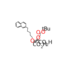 CC(C)(C)OC(=O)CO[C@@H](C(=O)O)[C@@H](OCCCCCc1ccc2ccccc2c1)C(=O)O